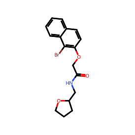 O=C(COc1ccc2ccccc2c1Br)NCC1CCCO1